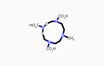 CN1CCN(C(=O)O)CCN(C(=O)O)CCN(C(=O)O)CC1